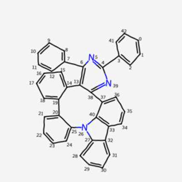 c1ccc(-c2nc(-c3ccccc3)c3c4ccccc4c4ccccc4n4c5ccccc5c5cccc(c3n2)c54)cc1